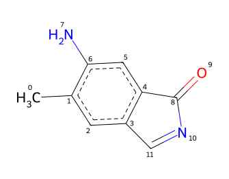 Cc1cc2c(cc1N)C(=O)N=C2